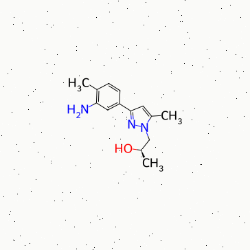 Cc1ccc(-c2cc(C)n(C[C@@H](C)O)n2)cc1N